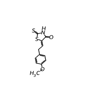 COc1ccc(CC=C2SC(=S)NC2=O)cc1